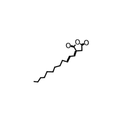 CCCCCCCCCC=CC=C1CC(=O)OC1=O